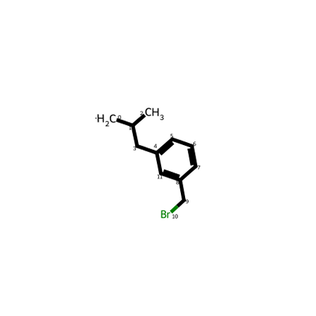 [CH2]C(C)Cc1cccc(CBr)c1